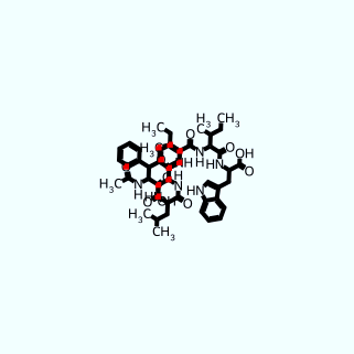 CCC(C)C(NC(=O)C(CC(=O)O)NC(=O)C(CC(C)C)NC(=O)C(NC(C)=O)C(c1ccccc1)c1ccccc1)C(=O)NC(C(=O)NC(Cc1c[nH]c2ccccc12)C(=O)O)C(C)CC